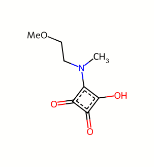 COCCN(C)c1c(O)c(=O)c1=O